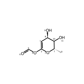 C[C@@H]1OC(OC=O)=C[C@@H](O)C1O